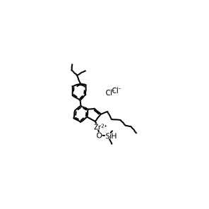 CCCCCCC1=Cc2c(-c3ccc(C(C)CC)cc3)cccc2[CH]1[Zr+2][O][SiH](C)C.[Cl-].[Cl-]